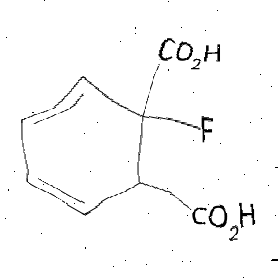 O=C(O)C1C=CC=CC1(F)C(=O)O